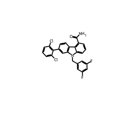 NC(=O)c1cccc2c1c1[c]cc(-c3c(Cl)cccc3Cl)cc1n2Cc1cc(F)cc(F)c1